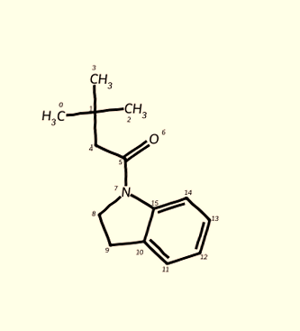 CC(C)(C)[CH]C(=O)N1CCc2ccccc21